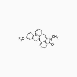 CN1C(=O)c2cccc3c2C1=Cc1cccnc1N3Cc1cccc(C(F)(F)F)c1